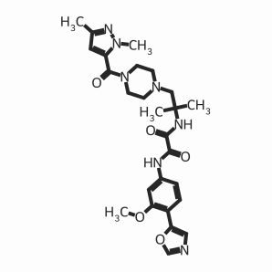 COc1cc(NC(=O)C(=O)NC(C)(C)CN2CCN(C(=O)c3cc(C)nn3C)CC2)ccc1-c1cnco1